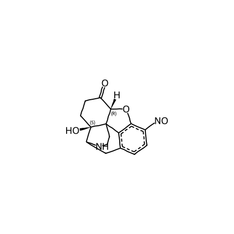 O=Nc1ccc2c3c1O[C@H]1C(=O)CC[C@@]4(O)C(C2)NCCC314